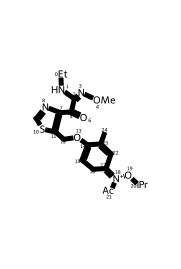 CCN/C(=N/OC)C(=O)c1ncsc1COC1=CCC(=[N+](OC(C)C)C(C)=O)C=C1C